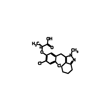 C[C@H](Oc1cc(Cc2c3c(nn2C)CCCC3)c(Cl)cc1Cl)C(=O)O